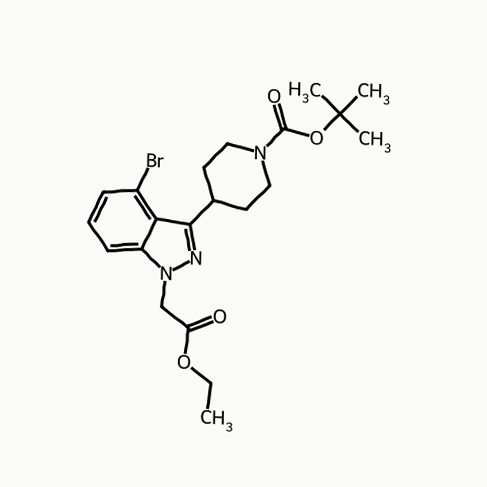 CCOC(=O)Cn1nc(C2CCN(C(=O)OC(C)(C)C)CC2)c2c(Br)cccc21